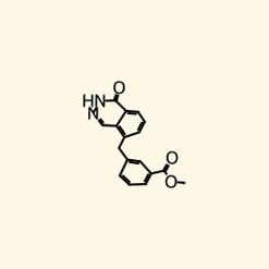 COC(=O)c1cccc(Cc2cccc3c(=O)[nH]ncc23)c1